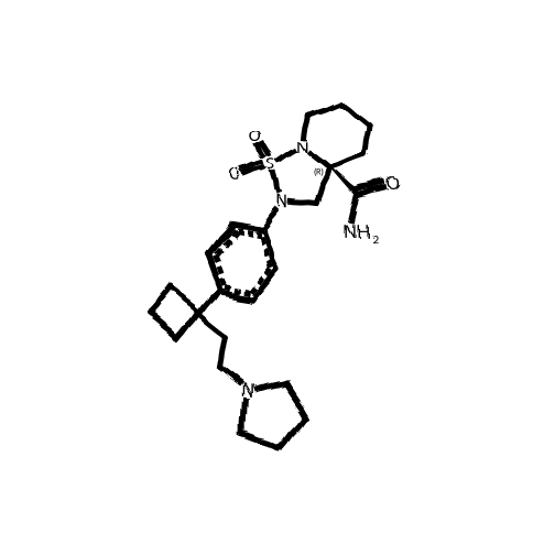 NC(=O)[C@]12[CH]CCCN1S(=O)(=O)N(c1ccc(C3(CCN4CCCC4)CCC3)cc1)C2